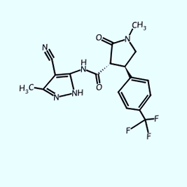 Cc1n[nH]c(NC(=O)[C@@H]2C(=O)N(C)C[C@H]2c2ccc(C(F)(F)F)cc2)c1C#N